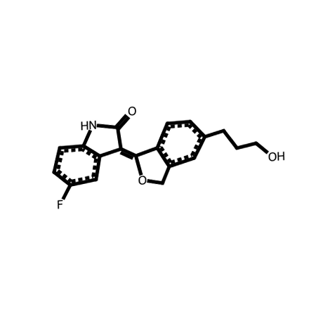 O=C1Nc2ccc(F)cc2C1=C1OCc2cc(CCCO)ccc21